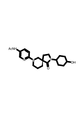 CC(=O)Nc1ccc(N2CCC[C@]3(CCN(C4CCC(O)CC4)C3=O)C2)nc1